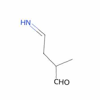 CC(C=O)CC=N